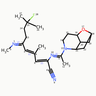 C\N=C(/C=C(C)/C=C(C#N)\N=C(/C)N1CCC2OC3CC2C1C3)CCC(C)(C)F